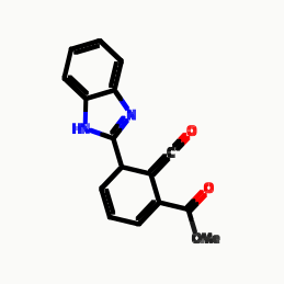 COC(=O)C1=CC=CC(c2nc3ccccc3[nH]2)C1=C=O